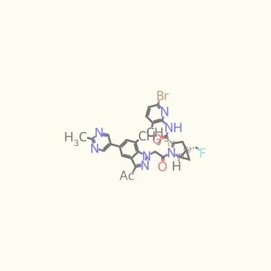 CC(=O)c1nn(CC(=O)N2[C@H](C(=O)Nc3nc(Br)ccc3C)C[C@@]3(CF)C[C@@H]23)c2c(C)cc(-c3cnc(C)nc3)cc12